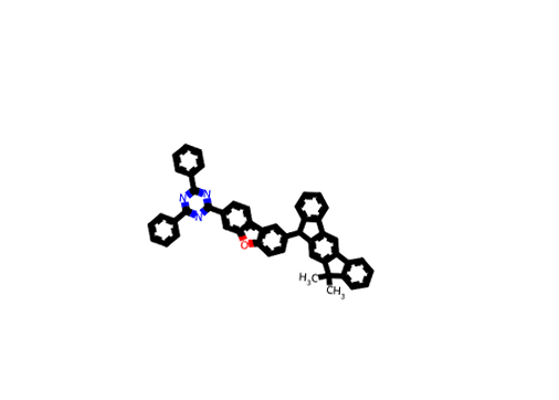 CC1(C)c2ccccc2-c2cc3c(cc21)C(c1ccc2oc4cc(-c5nc(-c6ccccc6)nc(-c6ccccc6)n5)ccc4c2c1)c1ccccc1-3